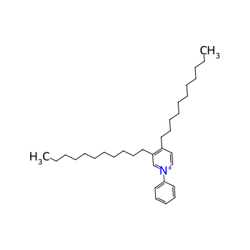 CCCCCCCCCCCc1cc[n+](-c2ccccc2)cc1CCCCCCCCCCC